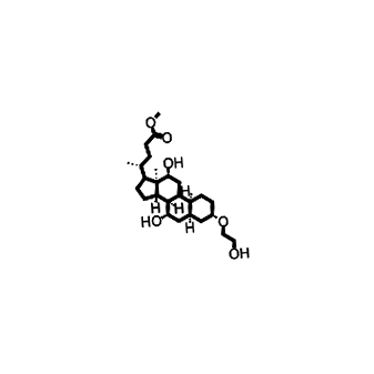 COC(=O)CC[C@@H](C)C1CC[C@H]2[C@@H]3[C@H](O)C[C@@H]4C[C@@H](OCCO)CC[C@]4(C)[C@H]3C[C@H](O)[C@]12C